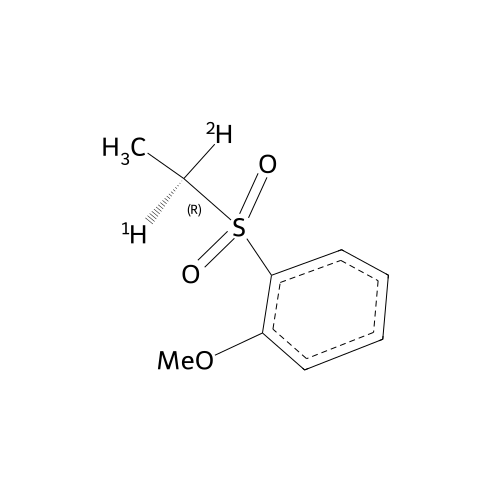 [1H][C@@]([2H])(C)S(=O)(=O)c1ccccc1OC